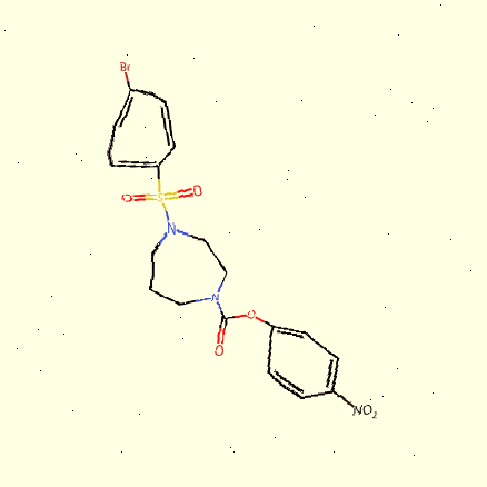 O=C(Oc1ccc([N+](=O)[O-])cc1)N1CCCN(S(=O)(=O)c2ccc(Br)cc2)CC1